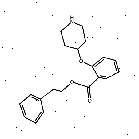 O=C(OCCc1ccccc1)c1ccccc1OC1CCNCC1